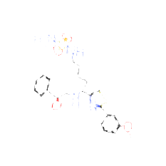 COc1cccc(-c2nc(C(CCCCNS(N)(=O)=O)NCC(=O)c3ccccc3)cs2)c1